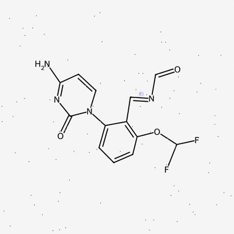 Nc1ccn(-c2cccc(OC(F)F)c2/C=N/C=O)c(=O)n1